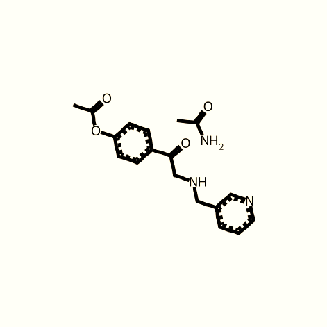 CC(=O)Oc1ccc(C(=O)CNCc2cccnc2)cc1.CC(N)=O